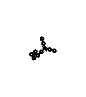 c1ccc(-c2ccc(-c3nc(-c4ccc(-c5ccccc5)cc4)nc(-c4ccc(-c5ccc6c(c5)C5(c7ccccc7-c7ccccc75)c5ccccc5-6)cc4)n3)cc2)cc1